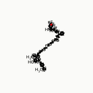 Cc1ncsc1-c1ccc(CNC(=O)[C@@H]2C[C@@H](O)CN2C(=O)[C@@H](NC(=O)CCOCCOCCOCCOCCOCCC(=O)N2CC([C@@H](c3ccccc3)n3cc(NC(=O)c4n[nH]c5c4C[C@@H]4C(F)(F)[C@]4(C)C5)cn3)C2)C(C)(C)C)cc1